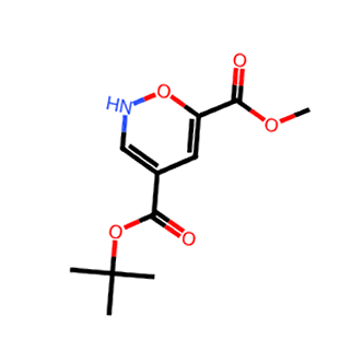 COC(=O)C1=CC(C(=O)OC(C)(C)C)=CNO1